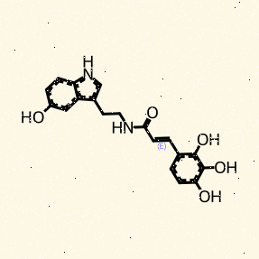 O=C(/C=C/c1ccc(O)c(O)c1O)NCCc1c[nH]c2ccc(O)cc12